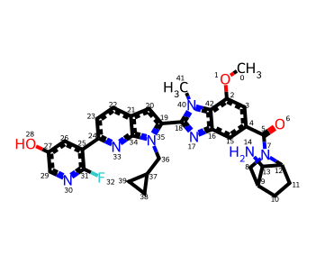 COc1cc(C(=O)N2CC3CCC2C3N)cc2nc(-c3cc4ccc(-c5cc(O)cnc5F)nc4n3CC3CC3)n(C)c12